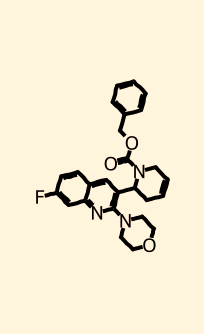 O=C(OCc1ccccc1)N1CC=CCC1c1cc2ccc(F)cc2nc1N1CCOCC1